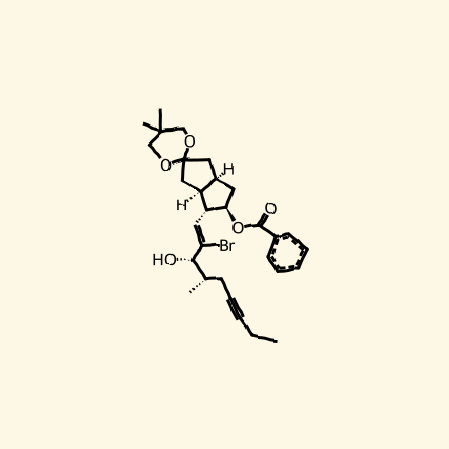 CCC#CC[C@H](C)[C@H](O)/C(Br)=C/[C@@H]1[C@H]2CC3(C[C@H]2C[C@H]1OC(=O)c1ccccc1)OCC(C)(C)CO3